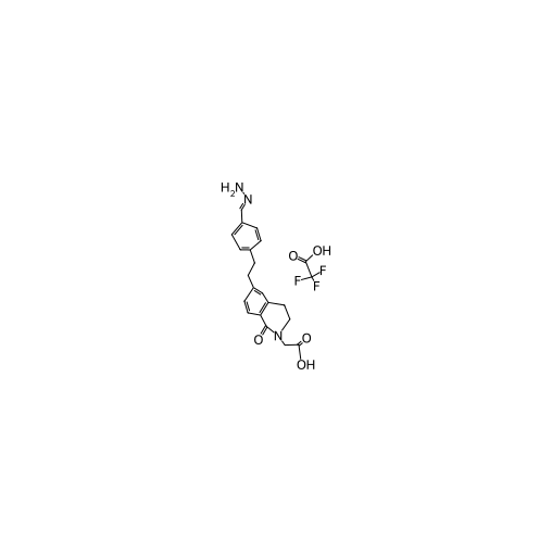 NN=Cc1ccc(CCc2ccc3c(c2)CCN(CC(=O)O)C3=O)cc1.O=C(O)C(F)(F)F